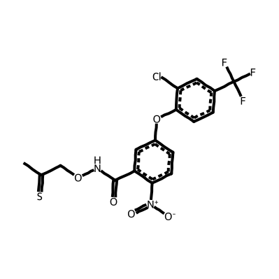 CC(=S)CONC(=O)c1cc(Oc2ccc(C(F)(F)F)cc2Cl)ccc1[N+](=O)[O-]